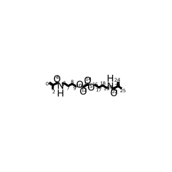 C=C(C)C(=O)NCCCCOC(=O)C(=O)OCCCCNC(=O)C(=C)C